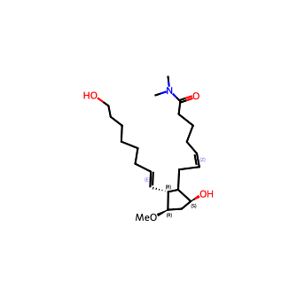 CO[C@@H]1C[C@H](O)C(C/C=C\CCCC(=O)N(C)C)[C@H]1/C=C/CCCCCCO